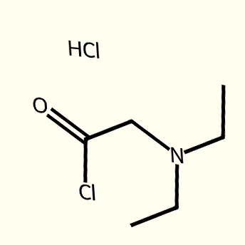 CCN(CC)CC(=O)Cl.Cl